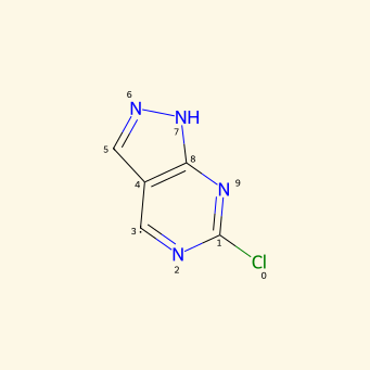 Clc1n[c]c2cn[nH]c2n1